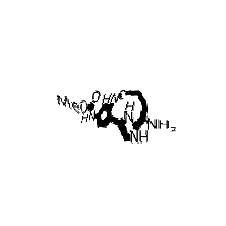 COC(=O)Nc1ccc2c(c1)NCCCCC[C@H](N)C1NC=C2N1